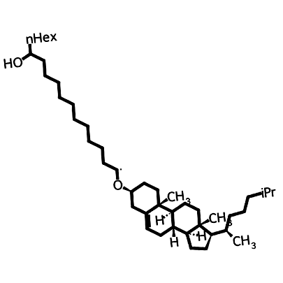 CCCCCCC(O)CCCCCCCCCC[CH]O[C@H]1CC[C@@]2(C)C(=CC[C@H]3[C@@H]4CC[C@H]([C@H](C)CCCC(C)C)[C@@]4(C)CC[C@@H]32)C1